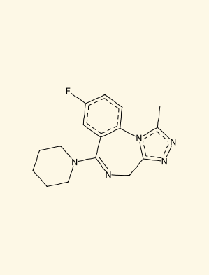 Cc1nnc2n1-c1ccc(F)cc1C(N1CCCCC1)=NC2